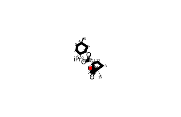 CC(C)[C@@H]1CC[C@@H](C)C[C@H]1OC(=O)[C@@]12CC[C@@](C)(C(=O)O1)C2(C)C